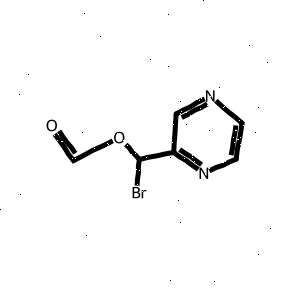 O=COC(Br)c1cnccn1